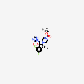 CCOC(=O)N1CCN([C@H](C)[C@](O)(Cn2cncn2)c2ccc(F)cc2F)CC1